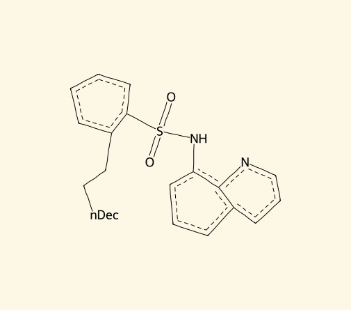 CCCCCCCCCCCCc1ccccc1S(=O)(=O)Nc1cccc2cccnc12